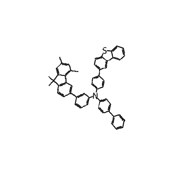 Cc1cc(C)c2c(c1)C(C)(C)c1ccc(-c3cccc(N(c4ccc(-c5ccccc5)cc4)c4ccc(-c5ccc6sc7ccccc7c6c5)cc4)c3)cc1-2